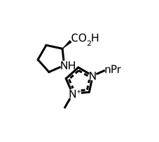 CCCn1cc[n+](C)c1.O=C(O)[C@@H]1CCCN1